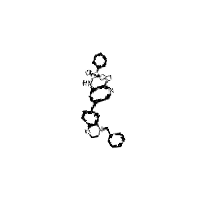 O=S(=O)(Nc1cc(-c2ccc3c(c2)N(Cc2ccccc2)CCO3)cnc1Cl)c1ccccc1